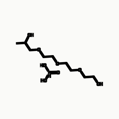 CC(O)COCCOCCOCCO.O=[PH](O)O